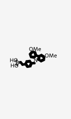 COc1ccc2c(c1)c1cc(OC)ccc1n2Cc1ccc(CCB(O)O)cc1